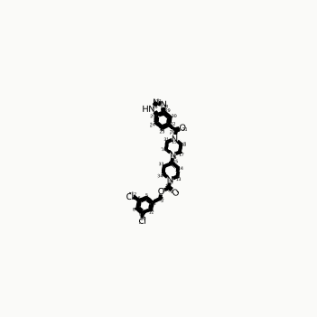 O=C(OCc1cc(Cl)cc(Cl)c1)N1CCC(N2CCN(C(=O)c3ccc4[nH]nnc4c3)CC2)CC1